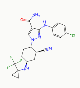 N#C[C@H]1C[C@@H](NC2(C(F)(F)F)CC2)CC[C@@H]1n1cc(C(N)=O)c(Nc2ccc(Cl)cc2)n1